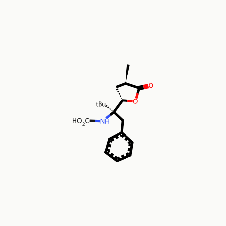 C[C@@H]1C[C@@H]([C@@](Cc2ccccc2)(NC(=O)O)C(C)(C)C)OC1=O